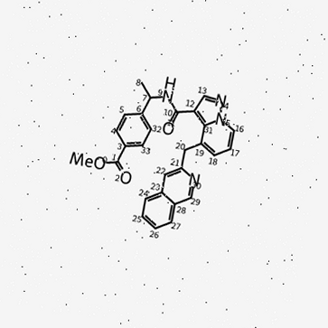 COC(=O)c1ccc(C(C)NC(=O)c2cnn3cccc(Cc4cc5ccccc5cn4)c23)cc1